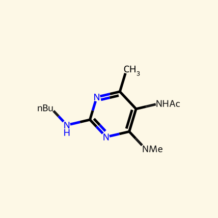 CCCCNc1nc(C)c(NC(C)=O)c(NC)n1